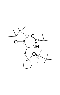 CC(C)(C)[S@@+]([O-])N[C@@H](CC1(O[Si](C)(C)C(C)(C)C)CCCC1)B1OC(C)(C)C(C)(C)O1